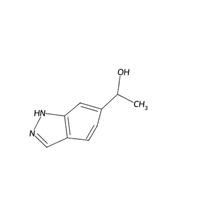 CC(O)c1ccc2cn[nH]c2c1